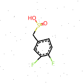 O=S(O)Cc1ccc(F)c(F)c1